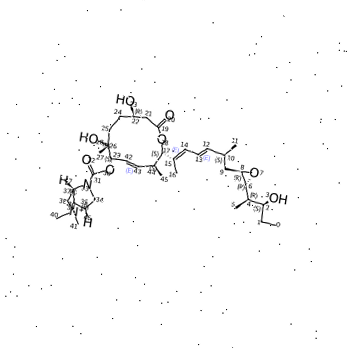 CC[C@H](O)[C@@H](C)[C@H]1O[C@@H]1C[C@H](C)/C=C/C=C(\C)[C@H]1OC(=O)C[C@H](O)CC[C@@](C)(O)[C@@H](OC(=O)N2C[C@H]3C[C@@H]2C[N+]3(C)C)/C=C/[C@@H]1C